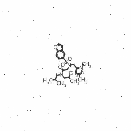 Cc1cc(CN(CC(=O)N(CC(C)C)CC(C)C)S(=O)(=O)c2ccc3occc3c2)n(C)n1